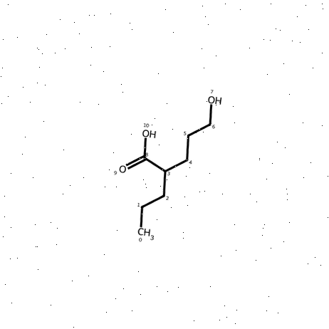 CCCC(CCCO)C(=O)O